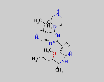 CCCC(OC)C(C)Nc1cc(-c2nc(N3CCNCC3)c3c(C(C)C)cncc3n2)ccn1